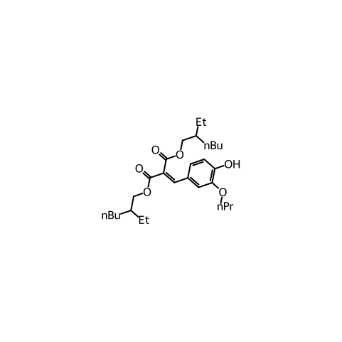 CCCCC(CC)COC(=O)C(=Cc1ccc(O)c(OCCC)c1)C(=O)OCC(CC)CCCC